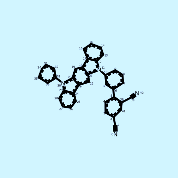 N#Cc1ccc(-c2cccc(-n3c4ccccc4c4cc5c(cc43)c3ccccc3n5-c3ccccc3)c2)c(C#N)c1